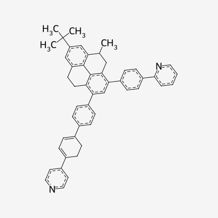 CC1Cc2c(-c3ccc(-c4ccccn4)cc3)cc(-c3ccc(C4=CC=C(c5ccncc5)CC4)cc3)c3c2-c2c(cc(C(C)(C)C)cc21)CC3